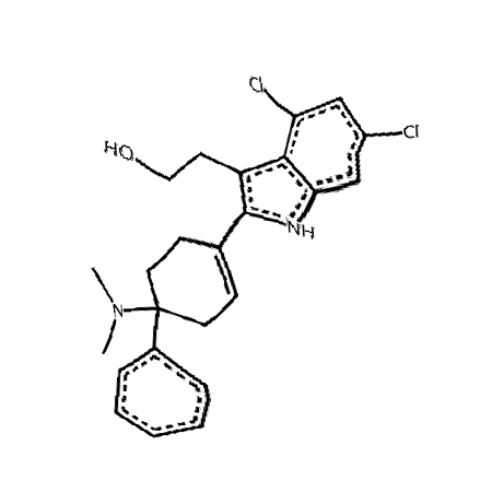 CN(C)C1(c2ccccc2)CC=C(c2[nH]c3cc(Cl)cc(Cl)c3c2CCO)CC1